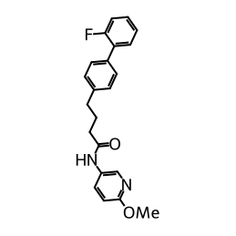 COc1ccc(NC(=O)CCCc2ccc(-c3ccccc3F)cc2)cn1